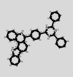 c1ccc(-c2nc(-c3ccccc3)nc(-c3ccc(-c4nc5ccccc5c5c4ccc4c6ccccc6oc45)cc3)n2)cc1